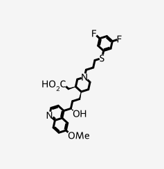 COc1ccc2nccc([C@@H](O)CC[C@@H]3CCN(CCCSc4cc(F)cc(F)c4)C[C@@H]3CC(=O)O)c2c1